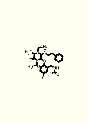 CCN1C(NCCc2ccccc2)=C(Oc2ccc(Cl)cc2CNC(C)=O)N(C(C)=O)C(=O)C1C